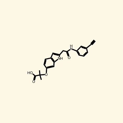 C#Cc1cccc(NC(=O)Cc2cc3ccc(OC(C)(C)C(=O)O)cc3[nH]2)c1